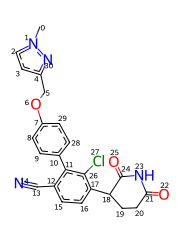 Cn1ccc(COc2ccc(-c3c(C#N)ccc(C4CCC(=O)NC4=O)c3Cl)cc2)n1